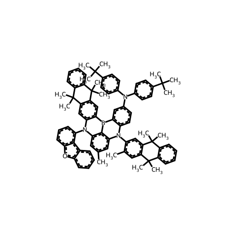 Cc1cc2c3c(c1)N(c1cccc4oc5ccccc5c14)c1cc4c(cc1B3c1cc(N(c3ccc(C(C)(C)C)cc3)c3ccc(C(C)(C)C)cc3)ccc1N2c1cc2c(cc1C)C(C)(C)c1ccccc1C2(C)C)C(C)(C)c1ccccc1C4(C)C